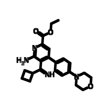 CCOC(=O)c1cc(-c2ccc(N3CCOCC3)cc2)c(C(=N)C2CCC2)c(N)n1